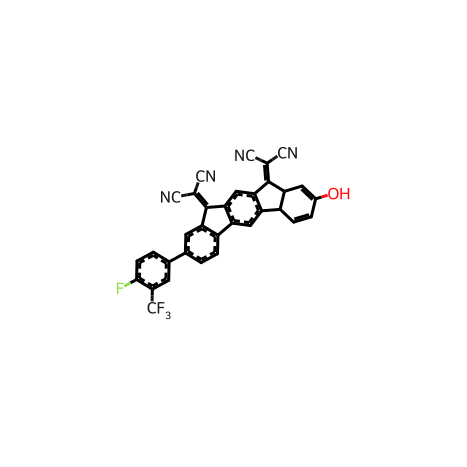 N#CC(C#N)=C1c2cc(-c3ccc(F)c(C(F)(F)F)c3)ccc2-c2cc3c(cc21)C(=C(C#N)C#N)C1C=C(O)C=CC31